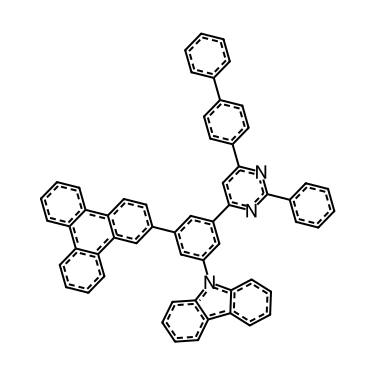 c1ccc(-c2ccc(-c3cc(-c4cc(-c5ccc6c7ccccc7c7ccccc7c6c5)cc(-n5c6ccccc6c6ccccc65)c4)nc(-c4ccccc4)n3)cc2)cc1